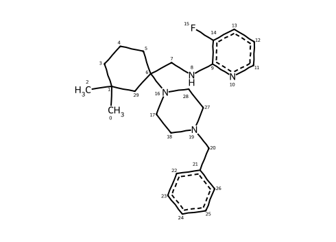 CC1(C)CCCC(CNc2ncccc2F)(N2CCN(Cc3ccccc3)CC2)C1